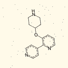 c1cnc(-c2ccncc2)c(OC2CCNCC2)c1